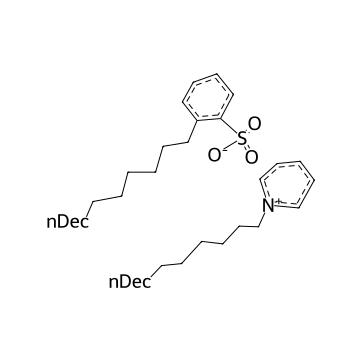 CCCCCCCCCCCCCCCC[n+]1ccccc1.CCCCCCCCCCCCCCCCc1ccccc1S(=O)(=O)[O-]